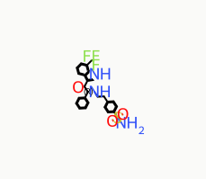 NS(=O)(=O)c1ccc(CCN[C@@H](C(=O)c2c[nH]c3c(C(F)(F)F)cccc23)c2ccccc2)cc1